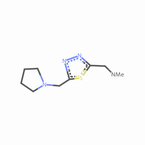 CNCc1nnc(CN2CCCC2)s1